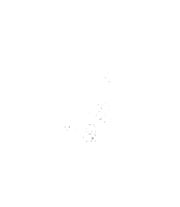 COc1cc(-c2[nH]c3cc(C)c(C4CCC(N5CC(F)(F)C5)CC4)nc3c2C(C)C)cn2ncnc12